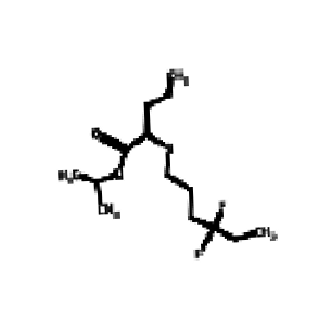 CCCC(SCCCC(F)(F)CC)C(=O)OC(C)C